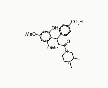 COc1cc(O)c(C(CC(=O)N2CCN(C)C(C)C2)c2ccc(C(=O)O)cc2)c(OC)c1